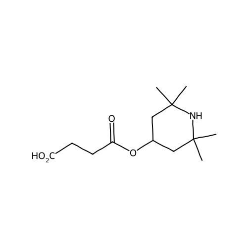 CC1(C)CC(OC(=O)CCC(=O)O)CC(C)(C)N1